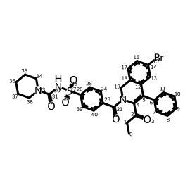 CCC(=O)C1=C(c2ccccc2)c2cc(Br)ccc2CN1C(=O)c1ccc(S(=O)(=O)NC(=O)N2CCCCC2)cc1